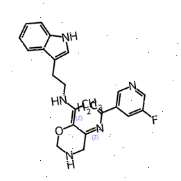 C=C(/N=C1/CNCO/C1=C(/C)NCCc1c[nH]c2ccccc12)c1cncc(F)c1